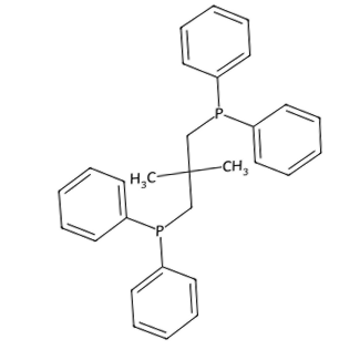 CC(C)(CP(c1ccccc1)c1ccccc1)CP(c1ccccc1)c1ccccc1